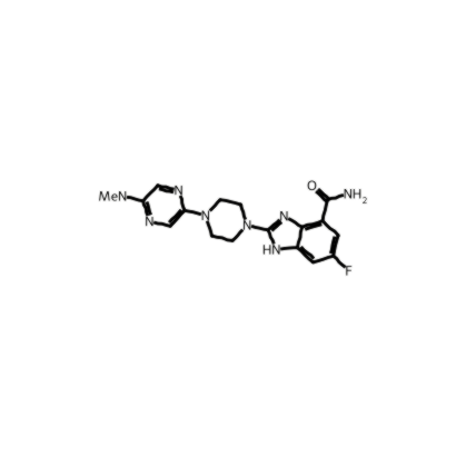 CNc1cnc(N2CCN(c3nc4c(C(N)=O)cc(F)cc4[nH]3)CC2)cn1